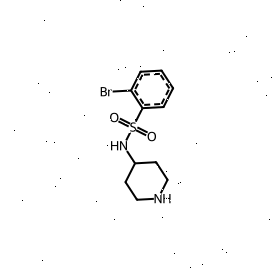 O=S(=O)(NC1CCNCC1)c1ccccc1Br